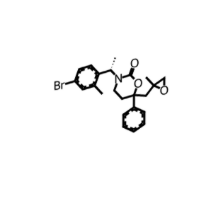 Cc1cc(Br)ccc1[C@H](C)N1CCC(CC2(C)CO2)(c2ccccc2)OC1=O